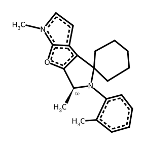 Cc1ccccc1N1[C@@H](C)c2oc3c(ccn3C)c2C12CCCCC2